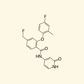 Cc1cc(F)ccc1Oc1cc(CF)ccc1C(=O)Nc1cc[nH]c(=O)c1